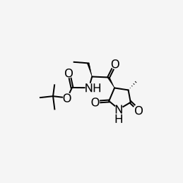 CC[C@H](NC(=O)OC(C)(C)C)C(=O)[C@@H]1C(=O)NC(=O)[C@H]1C